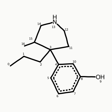 CCCC1(c2cccc(O)c2)CCNCC1C